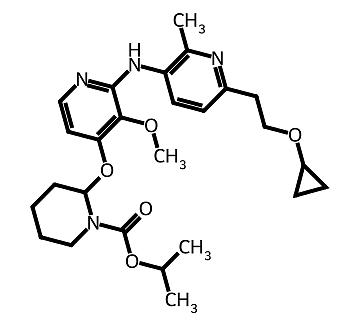 COc1c(OC2CCCCN2C(=O)OC(C)C)ccnc1Nc1ccc(CCOC2CC2)nc1C